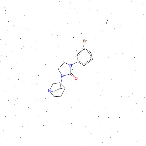 O=C1N(c2cccc(Br)c2)CCN1C1CN2CCC1CC2